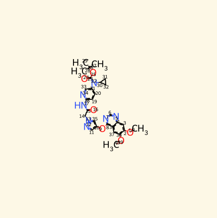 COc1cc2ncnc(Oc3cnn(CC(=O)Nc4ccc(N(C(=O)OC(C)(C)C)C5CC5)cn4)c3)c2cc1OC